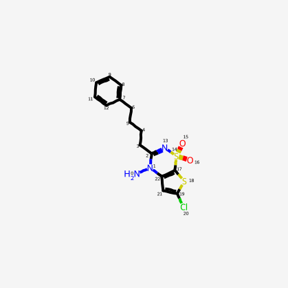 NN1C(CCCCc2ccccc2)=NS(=O)(=O)c2sc(Cl)cc21